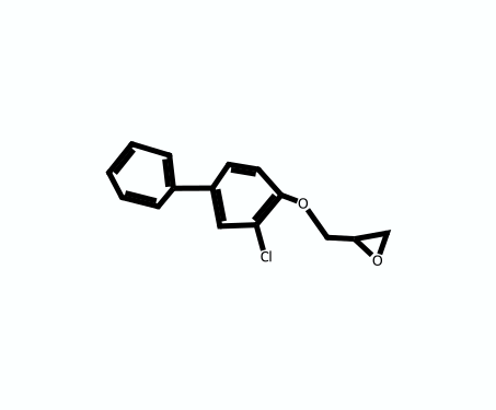 Clc1cc(-c2ccccc2)ccc1OCC1CO1